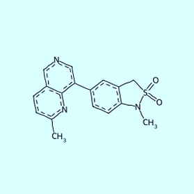 Cc1ccc2cncc(-c3ccc4c(c3)CS(=O)(=O)N4C)c2n1